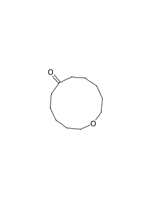 O=C1CCCCCOCCCCC1